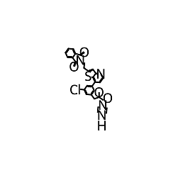 O=C(C1Cc2cc(Cl)cc(-c3ccnc4cc(CCN5C(=O)c6ccccc6C5=O)sc34)c2O1)N1CCNCC1